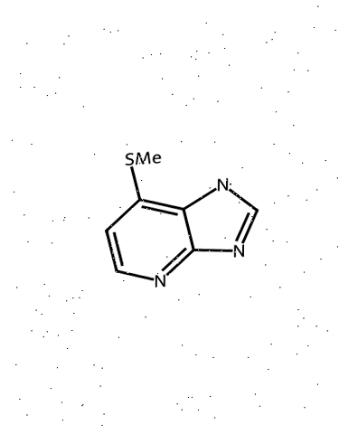 CSc1ccnc2c1[N]C=N2